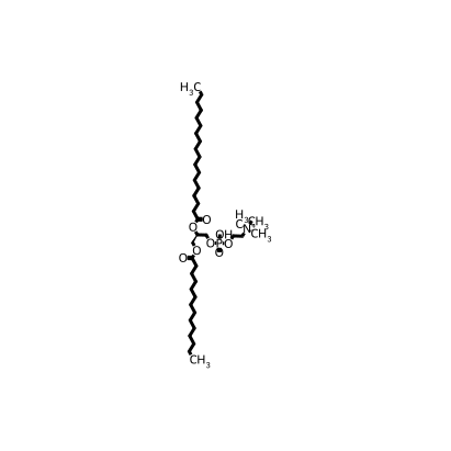 CCCCCCCCCCCCCCCCCC(=O)O[C@H](COC(=O)CCCCCCCCCCCCC)COP(=O)(O)OCC[N+](C)(C)C